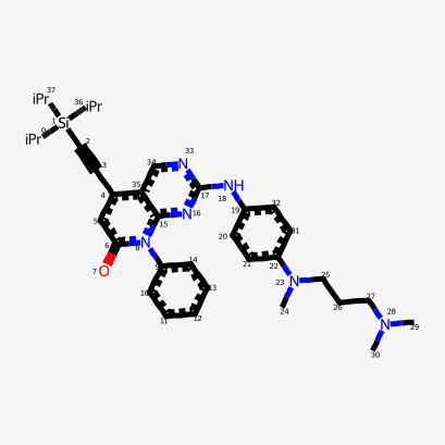 CC(C)[Si](C#Cc1cc(=O)n(-c2ccccc2)c2nc(Nc3ccc(N(C)CCCN(C)C)cc3)ncc12)(C(C)C)C(C)C